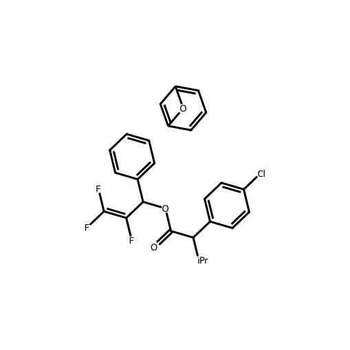 CC(C)C(C(=O)OC(C(F)=C(F)F)c1ccccc1)c1ccc(Cl)cc1.c1cc2cc(c1)O2